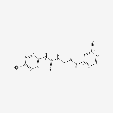 Nc1ccc(NC(=S)NCCSc2cccc(Br)c2)cc1